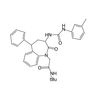 Cc1cccc(NC(=O)NC2CC(c3ccccc3)c3ccccc3N(CC(=O)NC(C)(C)C)C2=O)c1